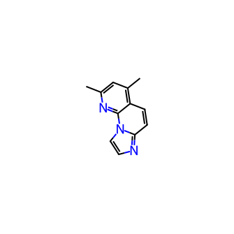 Cc1cc(C)c2ccc3nccn3c2n1